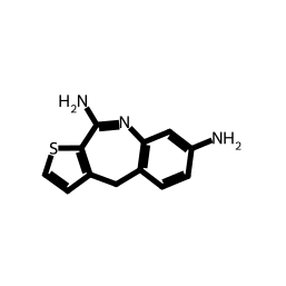 NC1=Nc2cc(N)ccc2Cc2ccsc21